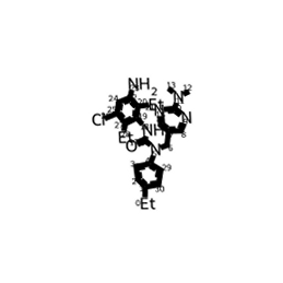 CCc1ccc(N(Cc2cnc(N(C)C)nc2)C(=O)Nc2c(CC)c(N)cc(Cl)c2CC)cc1